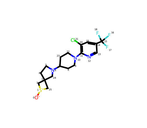 [O-][S+]1CC2(CCN(C3CCN(c4ncc(C(F)(F)F)cc4Cl)CC3)C2)C1